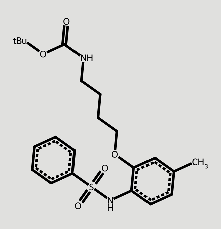 Cc1ccc(NS(=O)(=O)c2ccccc2)c(OCCCCNC(=O)OC(C)(C)C)c1